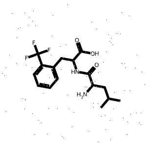 CC(C)CC(N)C(=O)NC(Cc1ccccc1C(F)(F)F)C(=O)O